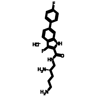 NCCC[C@H](N)CNC(=O)c1[nH]c2cc(-c3ccc(F)cc3)ccc2c1F.[Cl-].[H+]